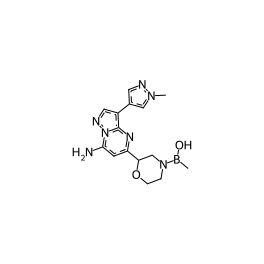 CB(O)N1CCOC(c2cc(N)n3ncc(-c4cnn(C)c4)c3n2)C1